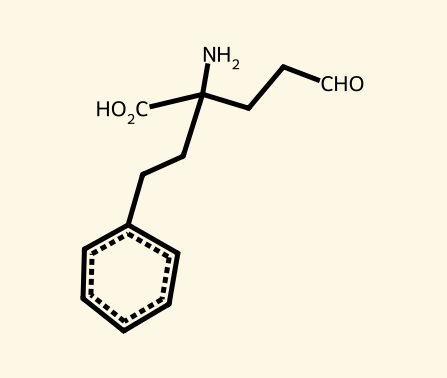 NC(CCC=O)(CCc1ccccc1)C(=O)O